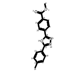 COC(=O)c1ccc(-c2nnc(-c3ccc(C)cc3)o2)cc1